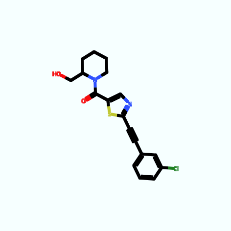 O=C(c1cnc(C#Cc2cccc(Cl)c2)s1)N1CCCCC1CO